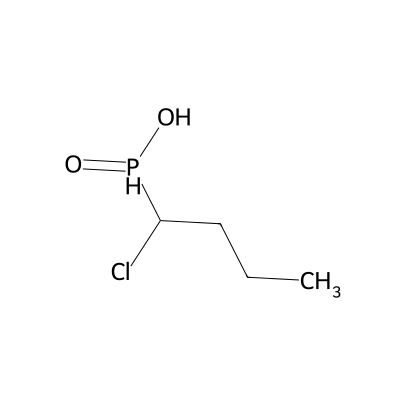 CCCC(Cl)[PH](=O)O